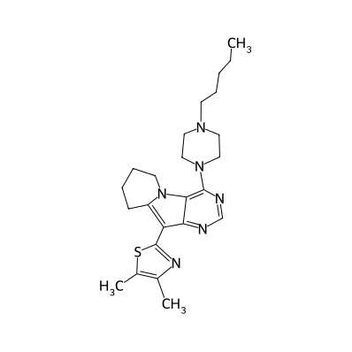 CCCCCN1CCN(c2ncnc3c(-c4nc(C)c(C)s4)c4n(c23)CCCC4)CC1